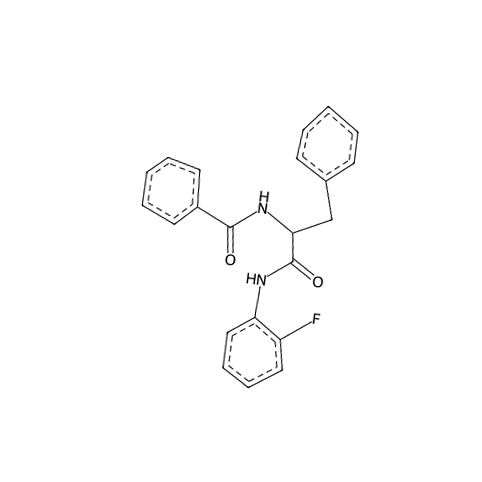 O=C(NC(Cc1ccccc1)C(=O)Nc1ccccc1F)c1ccccc1